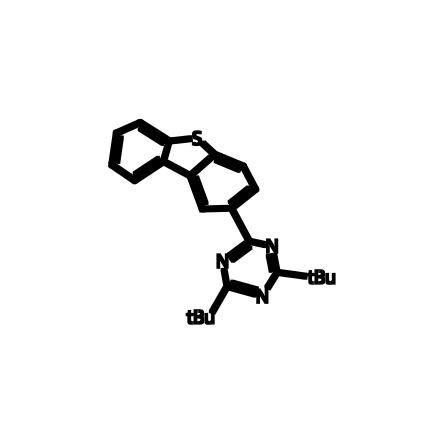 CC(C)(C)c1nc(-c2ccc3sc4ccccc4c3c2)nc(C(C)(C)C)n1